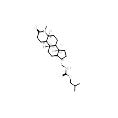 CC(C)COC(=O)NC[C@H]1CC[C@H]2[C@@H]3CC[C@H]4N(C)C(=O)CC[C@]4(C)[C@H]3CC[C@]12C